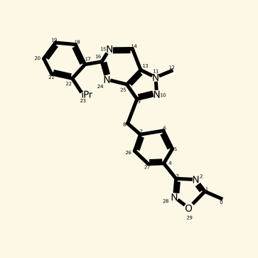 Cc1nc(-c2ccc(Cc3nn(C)c4cnc(-c5ccccc5C(C)C)nc34)cc2)no1